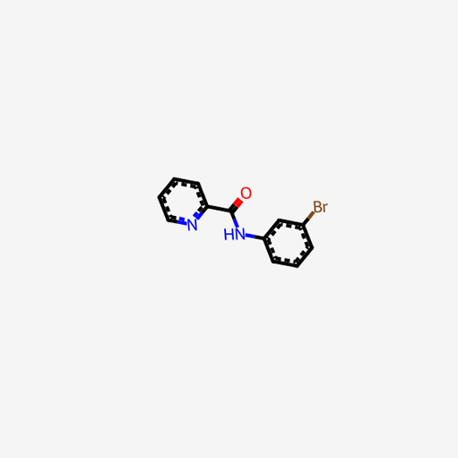 O=C(Nc1cccc(Br)c1)c1ccccn1